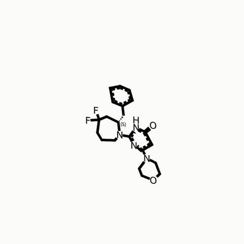 O=c1cc(N2CCOCC2)nc(N2CCCC(F)(F)C[C@@H]2Cc2ccccc2)[nH]1